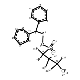 O=S(=O)(OSC(c1ccccc1)c1ccccc1)C(F)(F)C(F)(F)C(F)(F)C(F)(F)F